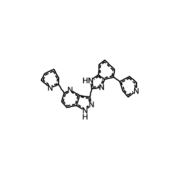 c1ccc(-c2ccc3[nH]nc(-c4nc5c(-c6ccncc6)cccc5[nH]4)c3n2)nc1